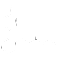 O=S=NC(=O)CCc1ccccc1-c1ccc(Cl)cc1